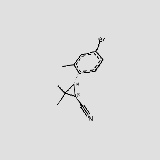 Cc1cc(Br)ccc1[C@@H]1[C@@H](C#N)C1(C)C